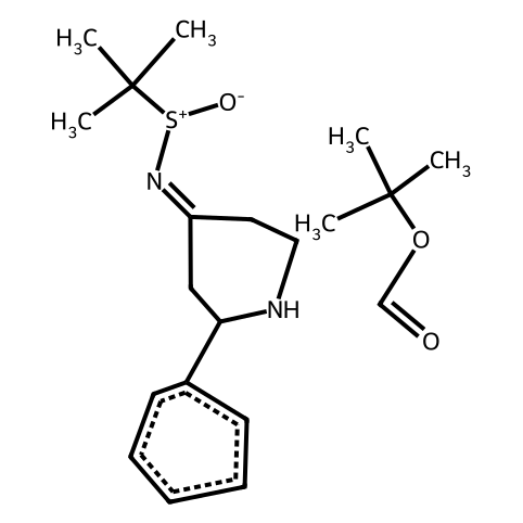 CC(C)(C)OC=O.CC(C)(C)[S+]([O-])N=C1CCNC(c2ccccc2)C1